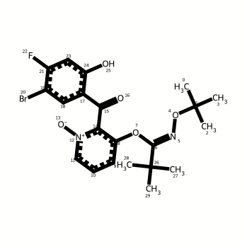 CC(C)(C)O/N=C(\Oc1ccc[n+]([O-])c1C(=O)c1cc(Br)c(F)cc1O)C(C)(C)C